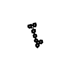 CC12C=CC=CC1N(c1ccc(-c3ccc(-c4ccc5c6ccccc6c6ccccc6c5c4)cc3)cc1)c1ccccc12